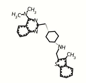 Cc1c(CN[C@H]2CC[C@@H](Cc3nc(N(C)C)c4ccccc4n3)CC2)sc2ccccc12